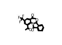 CC(=O)c1cc(C(F)(F)F)cc(C(C)=O)c1N1C(=O)c2ccccc2C1=O